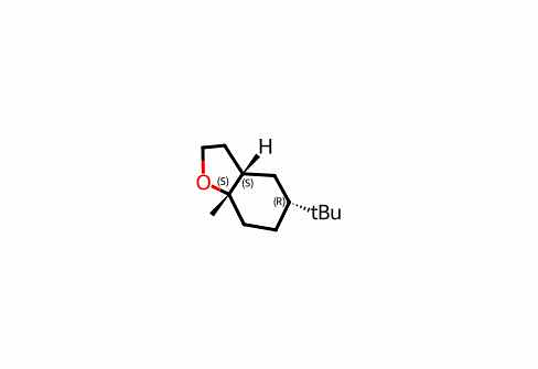 CC(C)(C)[C@@H]1CC[C@]2(C)OCC[C@@H]2C1